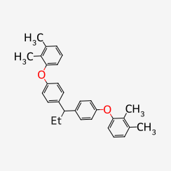 CCC(c1ccc(Oc2cccc(C)c2C)cc1)c1ccc(Oc2cccc(C)c2C)cc1